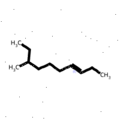 CC/C=C/CCCC(C)CC